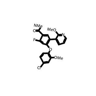 CNC(=O)c1cc(-c2cccnc2OC)c(Oc2ccc(Cl)cc2OC)cc1F